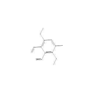 CCc1cc(C)c(CC)c(C=O)c1C=O